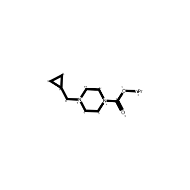 CCCOC(=O)N1CCN(CC2CC2)CC1